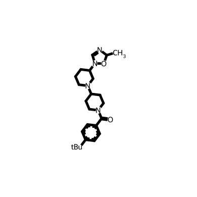 CC1N=CN(C2CCCN(C3CCN(C(=O)c4ccc(C(C)(C)C)cc4)CC3)C2)O1